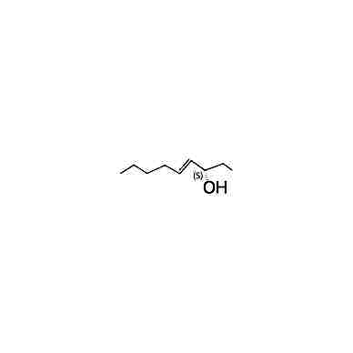 CCCCC=C[C@@H](O)CC